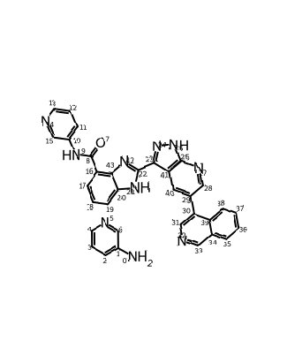 Nc1cccnc1.O=C(Nc1cccnc1)c1cccc2[nH]c(-c3n[nH]c4ncc(-c5cncc6ccccc56)cc34)nc12